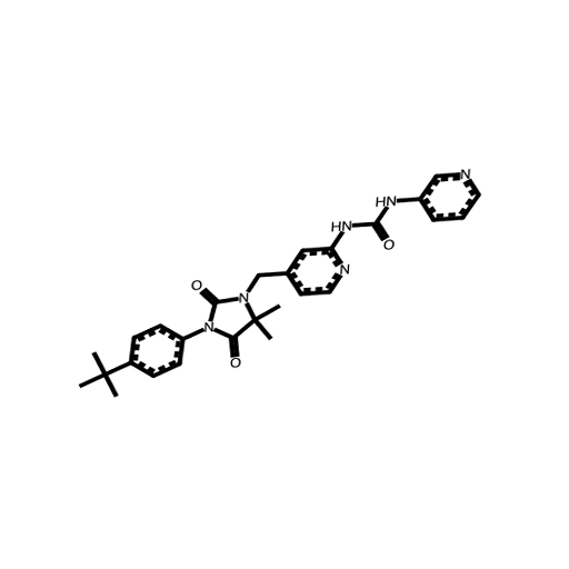 CC(C)(C)c1ccc(N2C(=O)N(Cc3ccnc(NC(=O)Nc4cccnc4)c3)C(C)(C)C2=O)cc1